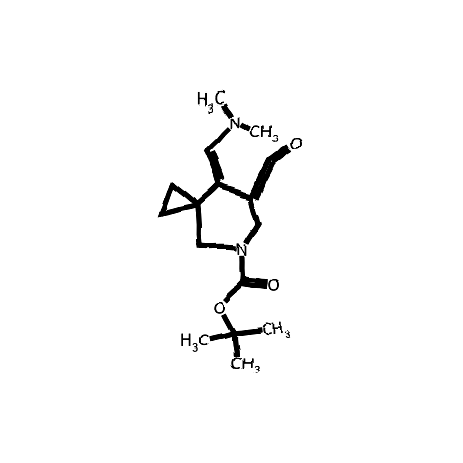 CN(C)/C=C1\C(=C=O)CN(C(=O)OC(C)(C)C)CC12CC2